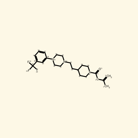 C=C(C)OC(=O)N1CCC(CCN2CCN(c3cccc(C(F)(F)F)c3)CC2)CC1